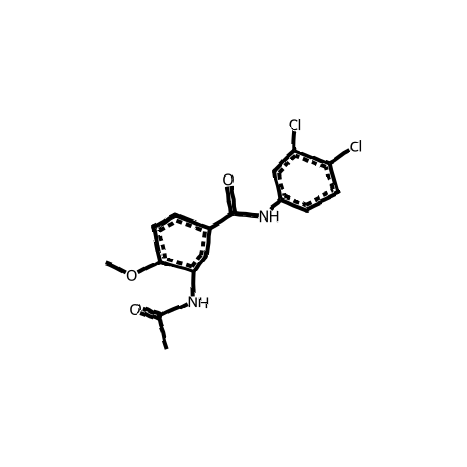 COc1ccc(C(=O)Nc2ccc(Cl)c(Cl)c2)cc1NC(C)=O